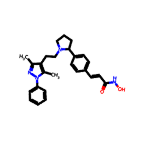 Cc1nn(-c2ccccc2)c(C)c1CCN1CCCC1c1ccc(/C=C/C(=O)NO)cc1